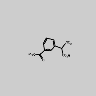 COC(=O)c1cccc(C(C(=O)O)[N+](=O)[O-])c1